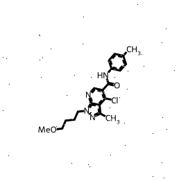 COCCCCn1nc(C)c2c(Cl)c(C(=O)Nc3ccc(C)cc3)cnc21